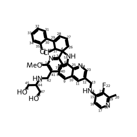 COc1nc(C2(Nc3nccc4cc(CNc5ccnc(C)c5F)cnc34)C=CC=C(c3ccccc3Cl)C2Cl)ccc1CNC(CO)CO